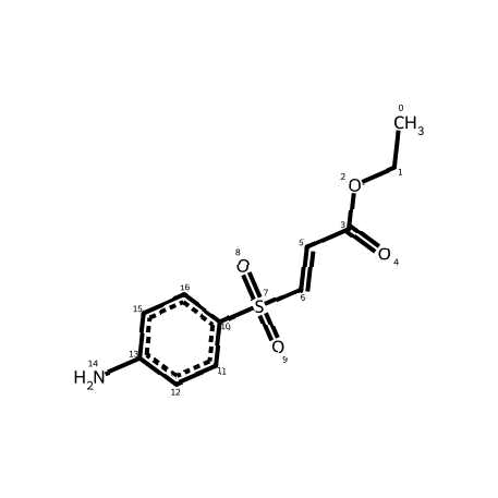 CCOC(=O)C=CS(=O)(=O)c1ccc(N)cc1